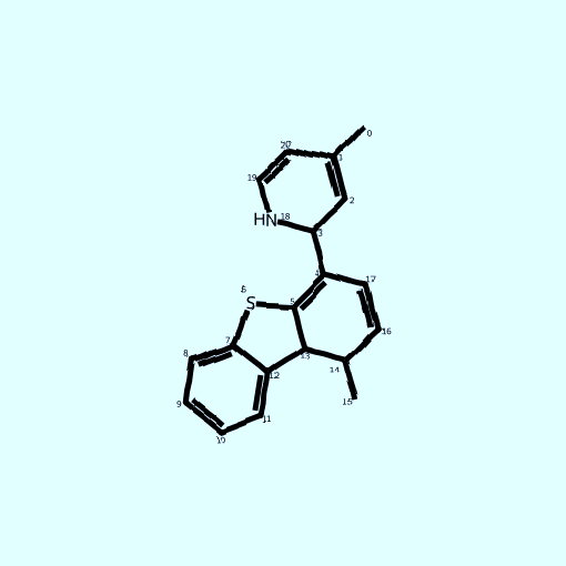 CC1=CC(C2=C3Sc4ccccc4C3C(C)C=C2)NC=C1